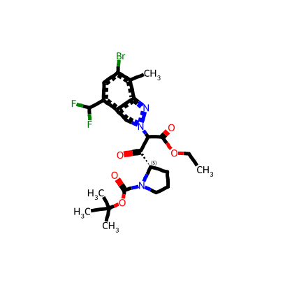 CCOC(=O)C(C(=O)[C@@H]1CCCN1C(=O)OC(C)(C)C)n1cc2c(C(F)F)cc(Br)c(C)c2n1